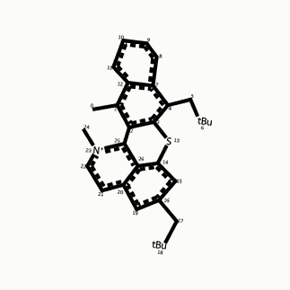 Cc1c2c(c(CC(C)(C)C)c3ccccc13)Sc1cc(CC(C)(C)C)cc3cc[n+](C)c-2c13